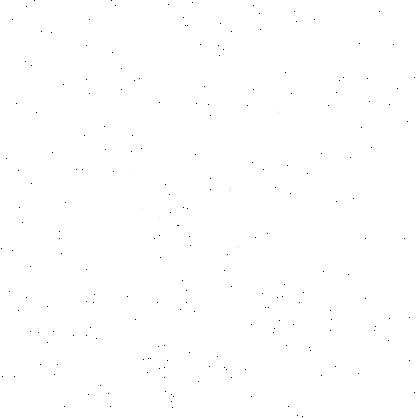 Cn1nc(NS(C)(=O)=O)c2c(Cl)ccc(-c3ccc(C#CC(C)(C)O)nc3C(Cc3cc(F)cc(F)c3)NC(=O)Cc3c[nH]c4ccc(F)cc34)c21